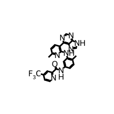 Cc1ccc(-c2ncnc3[nH]cnc23)c(Nc2cc(NC(=O)c3cc(C(F)(F)F)ccn3)ccc2C)n1